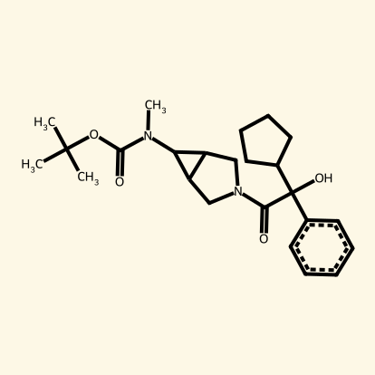 CN(C(=O)OC(C)(C)C)C1C2CN(C(=O)C(O)(c3ccccc3)C3CCCC3)CC21